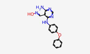 Nc1ncnc(Nc2ccc(Oc3ccccc3)cc2)c1C=NO